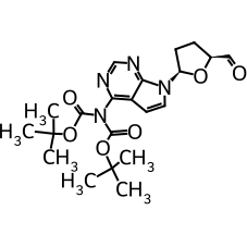 CC(C)(C)OC(=O)N(C(=O)OC(C)(C)C)c1ncnc2c1ccn2[C@H]1CC[C@@H](C=O)O1